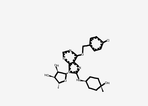 C[C@H]1O[C@@H](n2c(N[C@H]3CC[C@](C)(O)CC3)nc3c(OCc4ccc(Cl)cc4)ncnc32)[C@H](O)[C@@H]1O